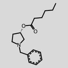 CCCCCC(=O)O[C@H]1CCN(Cc2ccccc2)C1